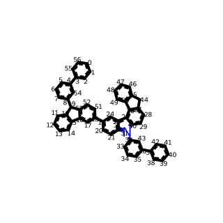 c1ccc(-c2cccc(C3c4ccccc4-c4cc(-c5ccc6c(c5)c5c7c(ccc5n6-c5cccc(-c6ccccc6)c5)Cc5ccccc5-7)ccc43)c2)cc1